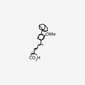 COc1cc(/C(C)=C/C=C/C(C)=C/C(=O)O)ccc1C12CC3CC(CC(C3)C1)C2